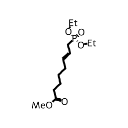 CCOP(=O)(C/C=C/CCCCC(=O)OC)OCC